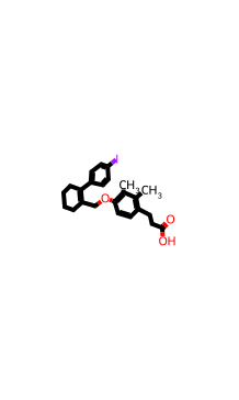 Cc1c(CCC(=O)O)ccc(OCC2=C(c3ccc(I)cc3)CCCC2)c1C